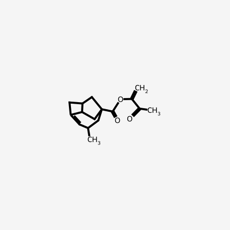 C=C(OC(=O)C12CC(C)C=C3CC(C1)C3C2)C(C)=O